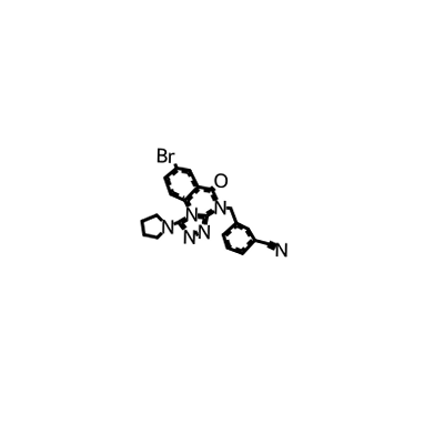 N#Cc1cccc(Cn2c(=O)c3cc(Br)ccc3n3c(N4CCCC4)nnc23)c1